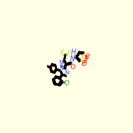 Cc1ccc(-c2c(-c3ccccc3Cl)cnc3c(C(=O)N[C@@H]4CCS(=O)(=O)C4)c(C(F)F)nn23)cc1